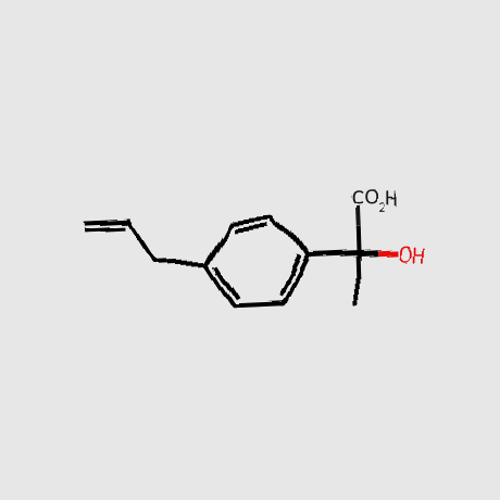 C=CCc1ccc(C(C)(O)C(=O)O)cc1